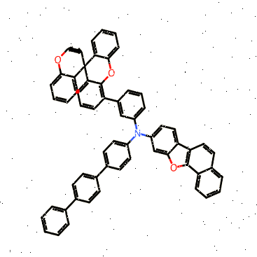 c1ccc(-c2ccc(-c3ccc(N(c4cccc(-c5cccc6c5Oc5ccccc5C65c6ccccc6Oc6ccccc65)c4)c4ccc5c(c4)oc4c6ccccc6ccc54)cc3)cc2)cc1